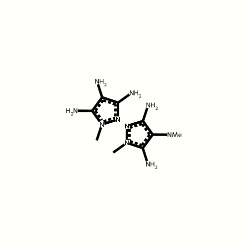 CNc1c(N)nn(C)c1N.Cn1nc(N)c(N)c1N